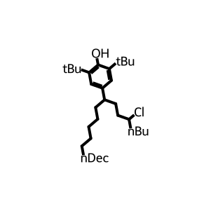 CCCCCCCCCCCCCCCC(CCC(Cl)CCCC)c1cc(C(C)(C)C)c(O)c(C(C)(C)C)c1